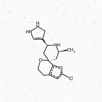 C[C@H]1C[C@@]2(C[C@@H](C3=CNNC3)N1)OCCc1cc(Cl)sc12